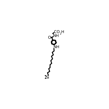 C[Si](C)(C)CCCCCCCCCCCCCCNc1ccc(C(=O)NCC(=O)O)cc1